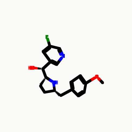 COc1ccc(C[C@@H]2CC[C@H]([C@H](O)c3cncc(F)c3)N2)cc1